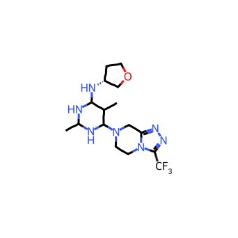 CC1NC(N[C@@H]2CCOC2)C(C)C(N2CCn3c(nnc3C(F)(F)F)C2)N1